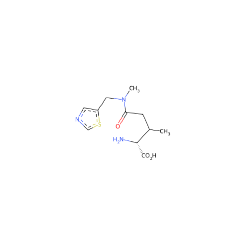 CC(CC(=O)N(C)Cc1cncs1)[C@@H](N)C(=O)O